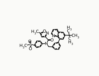 Cc1cc(C(=O)N(Cc2cccc(-c3cc(C(C)(C)C)cc4cccnc34)c2)c2ccc(S(C)(=O)=O)cc2)no1